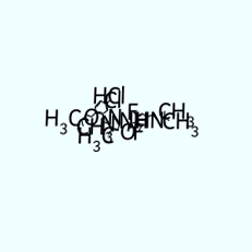 Cc1cc(NC(=O)c2c(F)cc(CNC(C)C)cc2F)nn1Cc1cc(Cl)ccc1OCC(C)C.Cl